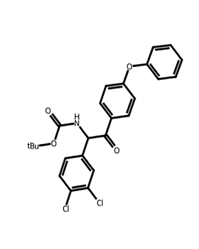 CC(C)(C)OC(=O)NC(C(=O)c1ccc(Oc2ccccc2)cc1)c1ccc(Cl)c(Cl)c1